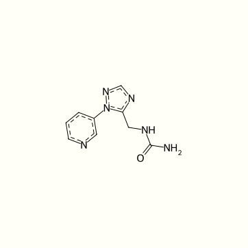 NC(=O)NCc1ncnn1-c1cccnc1